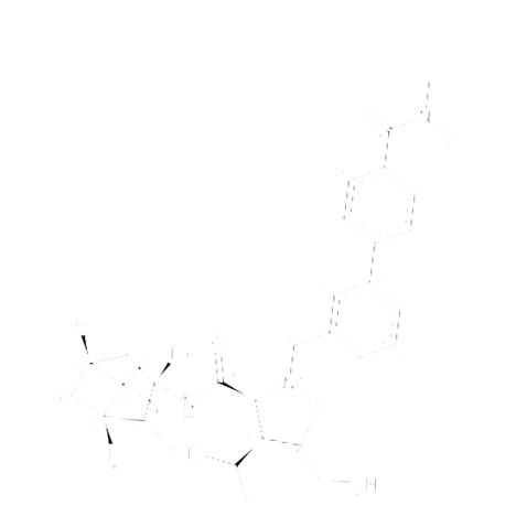 CC(O)[C@@H]1C(CO)ON(Cc2cccc(-c3ccc(C(=O)N(C)C)cc3)c2)[C@@H]1C(=O)N[C@H]1C[C@H]2C[C@@H](C1C)C2(C)C